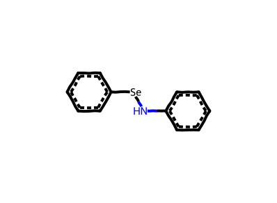 c1ccc(N[Se]c2ccccc2)cc1